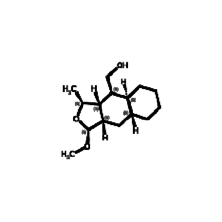 CO[C@H]1O[C@@H](C)[C@H]2[C@@H]1C[C@H]1CCCC[C@@H]1[C@@H]2CO